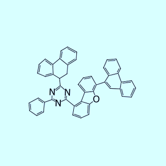 c1ccc(-c2nc(-c3cccc4oc5c(-c6cc7ccccc7c7ccccc67)cccc5c34)nc(C3Cc4ccccc4-c4ccccc43)n2)cc1